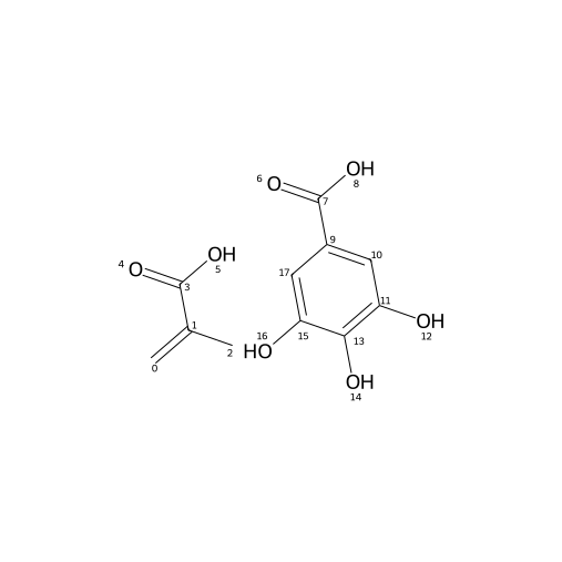 C=C(C)C(=O)O.O=C(O)c1cc(O)c(O)c(O)c1